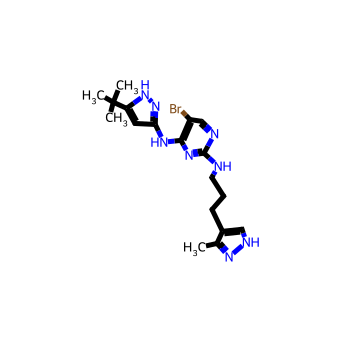 Cc1n[nH]cc1CCCNc1ncc(Br)c(Nc2cc(C(C)(C)C)[nH]n2)n1